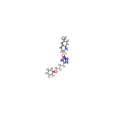 FC(F)(F)c1ccc2nc(COn3nnc(CCCCOc4ccccc4)n3)ccc2c1